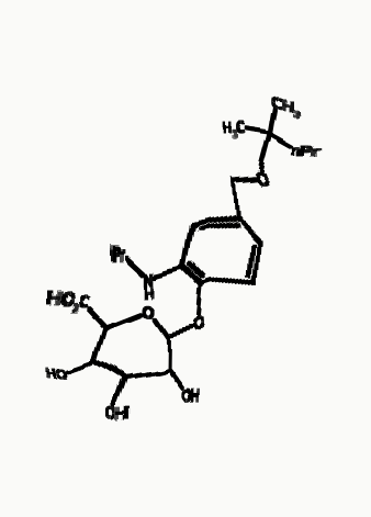 CCCC(C)(C)OCc1ccc(OC2OC(C(=O)O)C(O)C(O)C2O)c(NC(C)C)c1